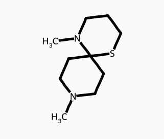 CN1CCC2(CC1)SCCCN2C